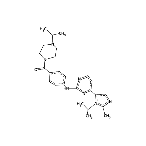 Cc1ncc(-c2ccnc(Nc3ccc(C(=O)N4CCN(C(C)C)CC4)cc3)n2)n1C(C)C